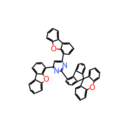 c1ccc2c(c1)Oc1ccccc1C21c2ccccc2-c2c(-c3nc(-c4cccc5c4oc4ccccc45)cc(-c4cccc5c4oc4ccccc45)n3)cccc21